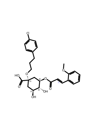 COc1ccccc1/C=C/C(=O)O[C@@H]1C[C@](OCCCc2ccc(Cl)cc2)(C(=O)O)C[C@H](O)[C@H]1O